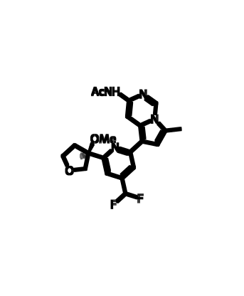 CO[C@]1(c2cc(C(F)F)cc(-c3cc(C)n4cnc(NC(C)=O)cc34)n2)CCOC1